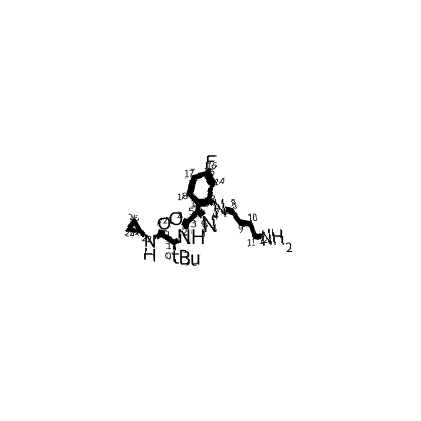 CC(C)(C)[C@H](NC(=O)c1nn(CCCCN)c2cc(F)ccc12)C(=O)NC1CC1